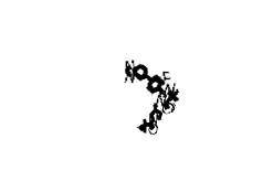 Cn1cnc2cc(-c3ccc(C4=NC(C)(C)C(=O)N4CC4CCN(C(=O)C5(C)CC5)C4)c(F)c3)ccc21